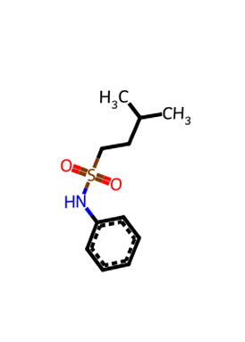 CC(C)CCS(=O)(=O)Nc1ccccc1